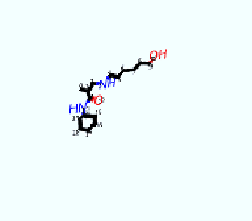 C/C(=C/NCCCCCCO)C(=O)Nc1ccccc1